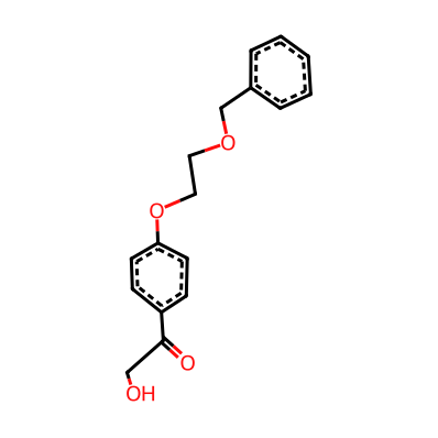 O=C(CO)c1ccc(OCCOCc2ccccc2)cc1